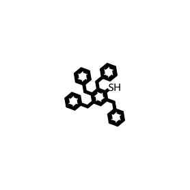 Sc1c(Cc2ccccc2)cc(Cc2ccccc2)c(Cc2ccccc2)c1Cc1ccccc1